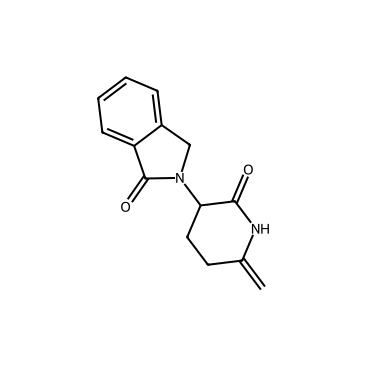 C=C1CCC(N2Cc3ccccc3C2=O)C(=O)N1